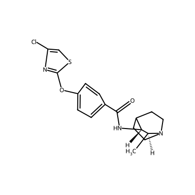 C[C@H]1[C@H](NC(=O)c2ccc(Oc3nc(Cl)cs3)cc2)C2CCN1CC2